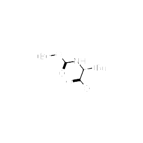 CC(C)(C)OC(=O)N[C@H](C([O])=O)C(C)(C)C